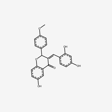 COc1ccc(C2Oc3ccc(O)cc3C(=O)C2=Cc2ccc(O)cc2O)cc1